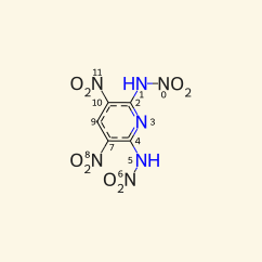 O=[N+]([O-])Nc1nc(N[N+](=O)[O-])c([N+](=O)[O-])cc1[N+](=O)[O-]